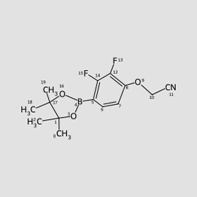 CC1(C)OB(c2ccc(OCC#N)c(F)c2F)OC1(C)C